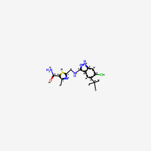 Cc1nc(CNc2n[nH]c3cc(Cl)c(C(C)(C)C)cc23)sc1C(N)=O